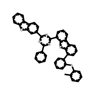 Cc1ccccc1Sc1ccccc1-c1cccc2c1sc1c(-c3nc(-c4ccccc4)nc(-c4ccc5c(c4)oc4ccccc45)n3)cccc12